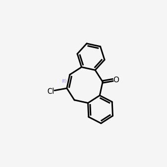 O=C1c2ccccc2/C=C(/Cl)Cc2ccccc21